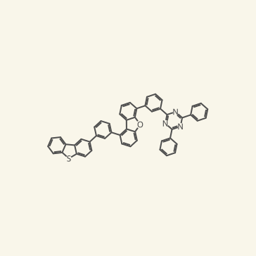 c1ccc(-c2nc(-c3ccccc3)nc(-c3cccc(-c4cccc5c4oc4cccc(-c6cccc(-c7ccc8sc9ccccc9c8c7)c6)c45)c3)n2)cc1